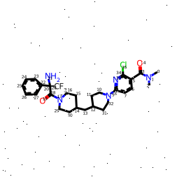 CN(C)C(=O)c1ccc(N2CCC(CC3CCN(C(=O)[C@@](N)(c4ccccc4)C(F)(F)F)CC3)CC2)nc1Cl